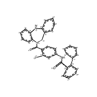 O=C(Nc1ccc(C(=O)N2Cc3ccccc3Nc3ccccc32)c(Cl)c1)c1ccccc1-c1ccccc1